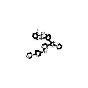 [O-][S+](Nc1cc(-c2nc(N3CCCC3)sc2-c2ccnc(Nc3ccc(N4CCOCC4)nc3)n2)ccc1F)c1c(F)cccc1F